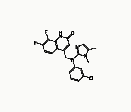 Cc1cnc(N(Cc2cc(=O)[nH]c3c(F)c(F)ccc23)c2cccc(Cl)c2)n1C